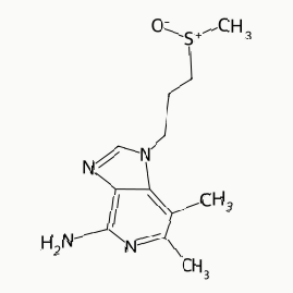 Cc1nc(N)c2ncn(CCC[S+](C)[O-])c2c1C